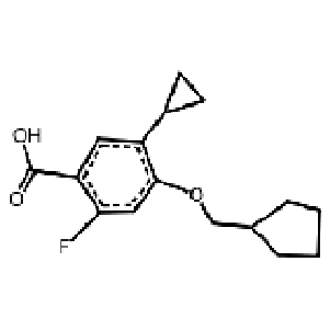 O=C(O)c1cc(C2CC2)c(OCC2CCCC2)cc1F